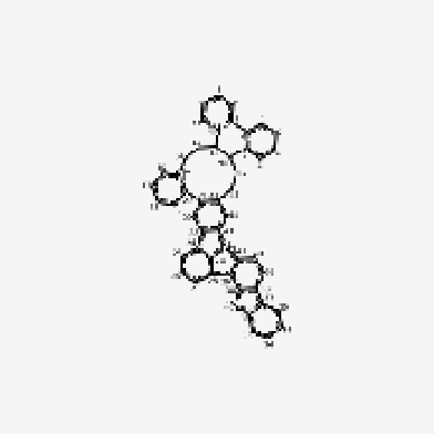 c1ccc2c(c1)-c1cccc[n+]1C1CC[n+]3ccccc3-c3cc4c5cccc6c7c8sc9ccccc9c8ccc7n(c4cc3CCC21)c56